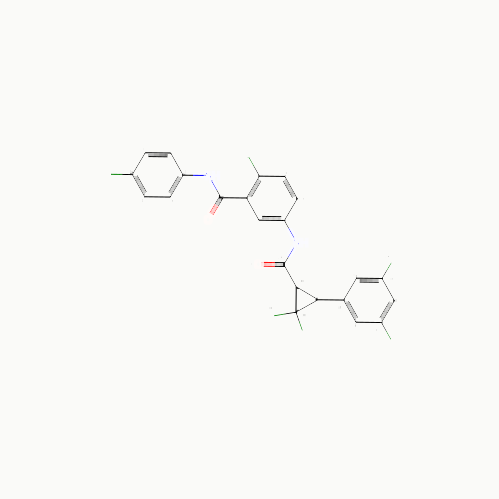 O=C(Nc1ccc(F)cc1)c1cc(NC(=O)C2C(c3cc(Cl)cc(Cl)c3)C2(F)Br)ccc1Cl